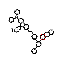 CCC1(CC)c2cc(/C=C/c3ccc(-c4cc(-c5ccccc5)ccc4C4C=CC5=C(C4)C4c6ccccc6C5c5ccccc54)cc3)ccc2-c2ccc(N(c3ccccc3)c3ccccc3)cc21